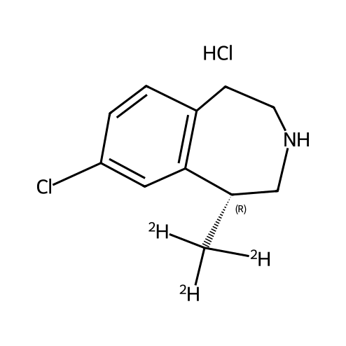 Cl.[2H]C([2H])([2H])[C@H]1CNCCc2ccc(Cl)cc21